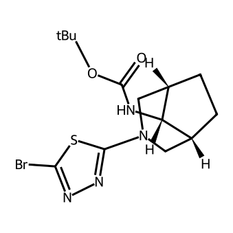 CC(C)(C)OC(=O)N[C@H]1[C@@H]2CC[C@H]1CN(c1nnc(Br)s1)C2